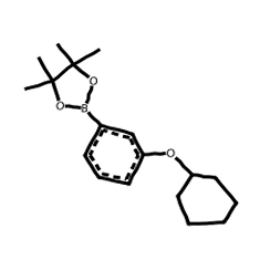 CC1(C)OB(c2cccc(OC3CCCCC3)c2)OC1(C)C